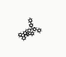 C1=C2C=c3cc4c5ccccc5c5ccccc5c4cc3=C2C2(C=C1N(c1ccc(-c3ccccc3)cc1)c1ccc(-c3ccccc3)cc1)c1ccccc1-c1ccccc12